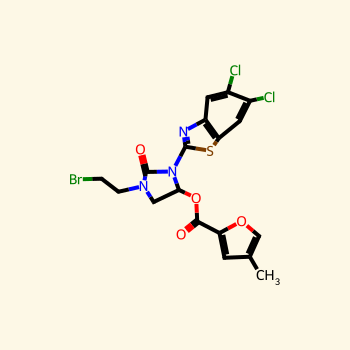 Cc1coc(C(=O)OC2CN(CCBr)C(=O)N2c2nc3cc(Cl)c(Cl)cc3s2)c1